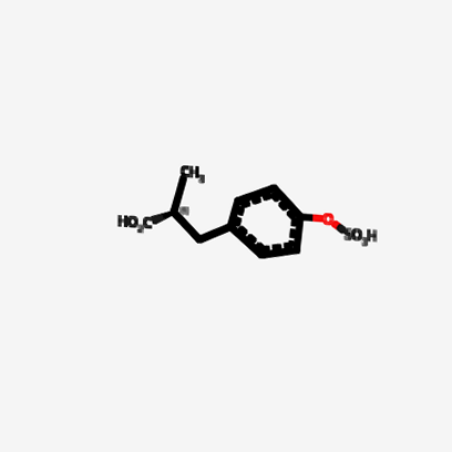 C[C@@H](Cc1ccc(OS(=O)(=O)O)cc1)C(=O)O